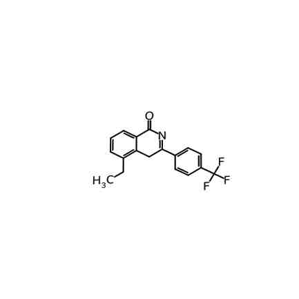 CCc1cccc2c1CC(c1ccc(C(F)(F)F)cc1)=NC2=O